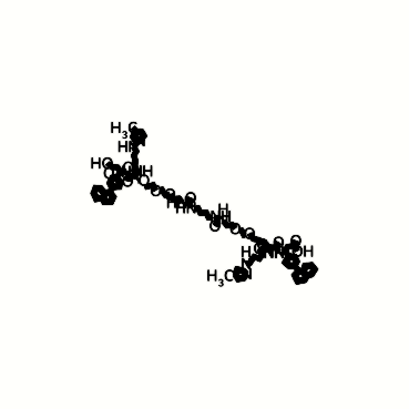 Cc1ccnc(NCCCC(=O)N[C@@H](COCCOCCOCCNC(=O)NCCCCNC(=O)NCCOCCOCCOC[C@H](NC(=O)CCCNc2cc(C)ccn2)C(=O)NC(CC(=O)O)c2ccc(-c3cccc4ccccc34)cc2)C(=O)NC(CC(=O)O)c2ccc(-c3cccc4ccccc34)cc2)c1